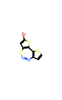 Brc1cc2c(s1)-c1sccc1N=NS2